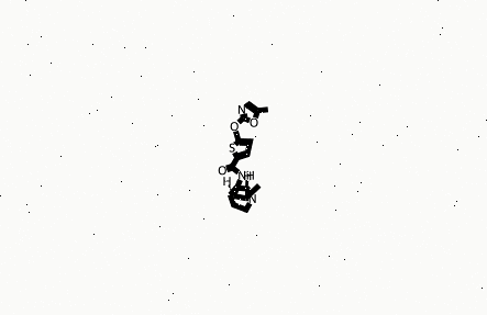 Cc1cnc(Oc2ccc(C(=O)N[C@@H]3C4CCN(CC4)[C@H]3C)s2)o1